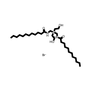 CCCCCCCCCCCC(=O)NC[N+](CCO)(CCO)CNC(=O)CCCCCCCCCCC.[Br-]